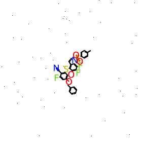 CSc1c(Oc2cc(C#N)c(F)cc2OCc2ccccc2)c(F)c(F)c2c1ccn2S(=O)(=O)c1ccc(C)cc1